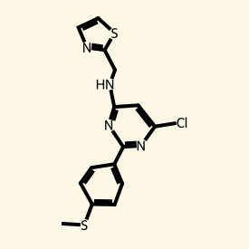 CSc1ccc(-c2nc(Cl)cc(NCc3nccs3)n2)cc1